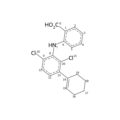 O=C(O)c1ccccc1Nc1c(Cl)ccc(C2=CCCCC2)c1Cl